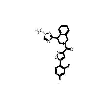 Cn1cnc(C2CN(C(=O)c3cc(-c4ccc(F)cc4F)on3)Cc3ccccc32)n1